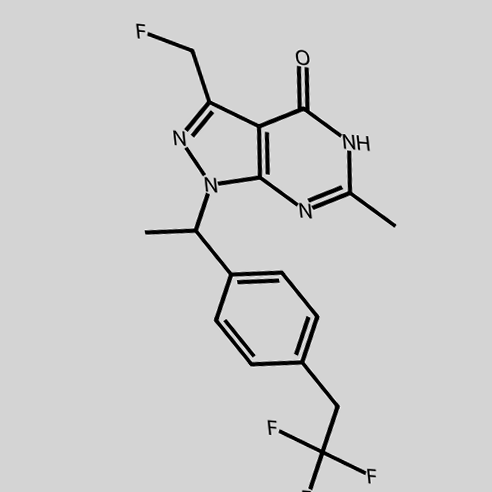 Cc1nc2c(c(CF)nn2C(C)c2ccc(CC(F)(F)F)cc2)c(=O)[nH]1